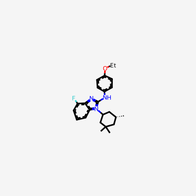 CCOc1ccc(Nc2nc3c(F)cccc3n2C2C[C@H](C)CC(C)(C)C2)cc1